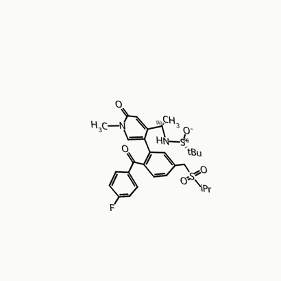 CC(C)S(=O)(=O)Cc1ccc(C(=O)c2ccc(F)cc2)c(-c2cn(C)c(=O)cc2[C@H](C)N[S@@+]([O-])C(C)(C)C)c1